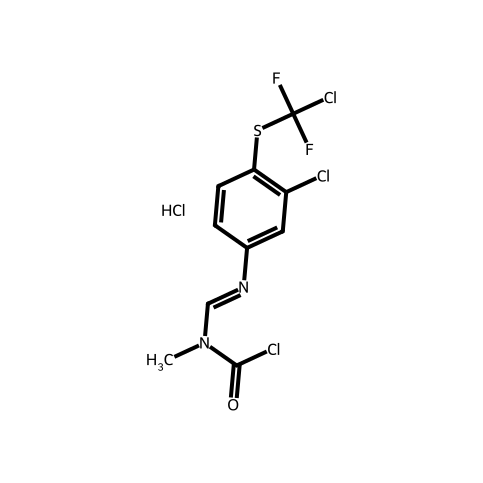 CN(C=Nc1ccc(SC(F)(F)Cl)c(Cl)c1)C(=O)Cl.Cl